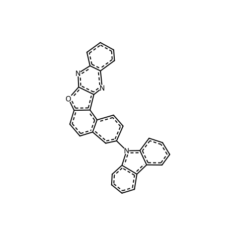 c1ccc2nc3c(nc2c1)oc1ccc2cc(-n4c5ccccc5c5ccccc54)ccc2c13